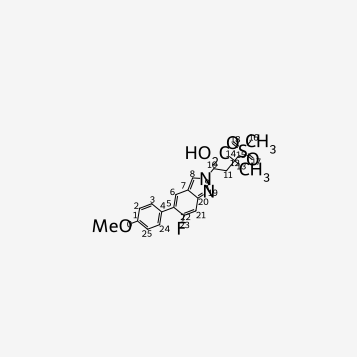 COc1ccc(-c2cc3cn(CCC(C)(C(=O)O)S(C)(=O)=O)nc3cc2F)cc1